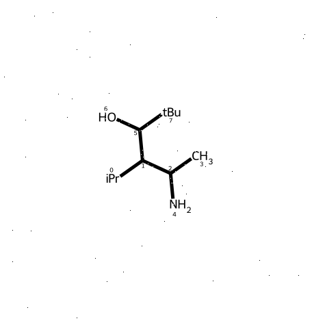 CC(C)C(C(C)N)C(O)C(C)(C)C